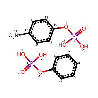 O=P(O)(O)Oc1ccccc1.O=[N+]([O-])c1ccc(OP(=O)(O)O)cc1